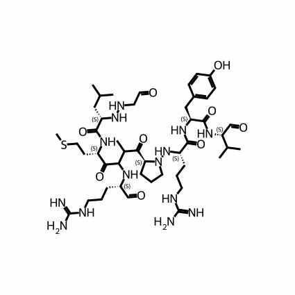 CSCC[C@H](NC(=O)[C@H](CC(C)C)NNCC=O)C(=O)C(N[C@H](C=O)CCCNC(=N)N)C(C)C(=O)[C@@H]1CCCN1N[C@@H](CCCNC(=N)N)C(=O)N[C@@H](Cc1ccc(O)cc1)C(=O)N[C@H](C=O)C(C)C